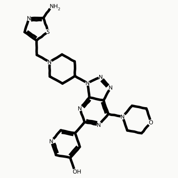 Nc1ncc(CN2CCC(n3nnc4c(N5CCOCC5)nc(-c5cncc(O)c5)nc43)CC2)s1